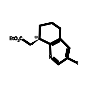 CCOC(=O)C[C@@H]1CCCc2cc(I)cnc21